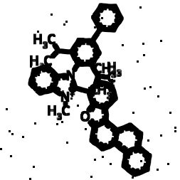 Cc1ccc2c(oc3ccc4c5ccccc5ccc4c32)c1-c1n(-c2c(C(C)C)cc(-c3ccccc3)cc2C(C)C)c2ccccc2[n+]1C